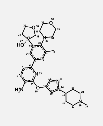 Cc1cc(-c2cnc(N)c(Oc3cnn(C4CCN(C)CC4)c3)n2)cc([C@@]2(O)CCOC2)c1N1CCOCC1